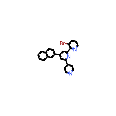 Brc1cccnc1-c1cc(-c2ccc3ccccc3c2)cc(-c2ccncc2)n1